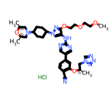 COCCOCCOc1nn(C2CCC(N3C[C@@H](C)O[C@@H](C)C3)CC2)cc1Nc1ncc(-c2ccc(C#N)c(O[C@@H](C)Cn3cnnn3)c2)cn1.Cl